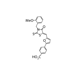 COc1ccccc1CN1C(=O)C(=Cc2ccc(-c3ccc(C(=O)O)cc3)o2)SC1=S